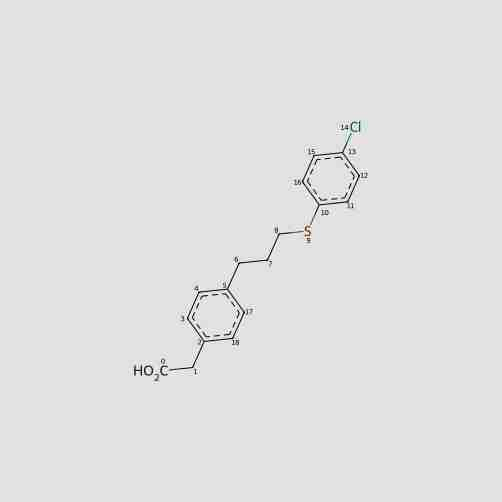 O=C(O)Cc1ccc(CCCSc2ccc(Cl)cc2)cc1